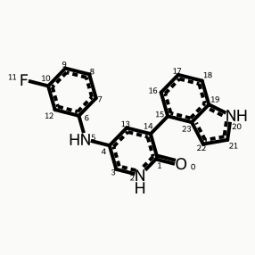 O=c1[nH]cc(Nc2cccc(F)c2)cc1-c1cccc2[nH]ccc12